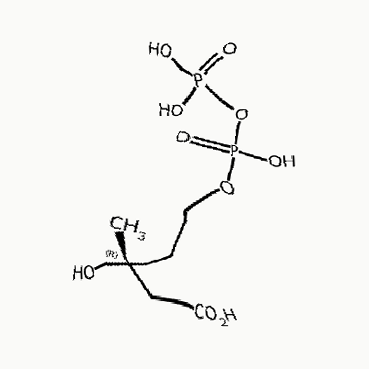 C[C@@](O)(CCOP(=O)(O)OP(=O)(O)O)CC(=O)O